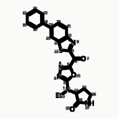 CCN(c1nnc(C(=O)c2nc3ccc(-c4ccccc4)cc3s2)o1)C1CCNC1=O